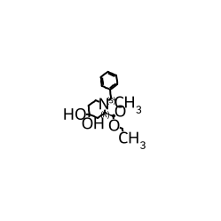 CCOC(=O)[C@H]1CC(O)(O)CCN1[C@@H](C)c1ccccc1